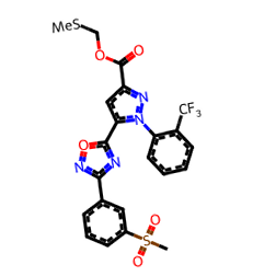 CSCOC(=O)c1cc(-c2nc(-c3cccc(S(C)(=O)=O)c3)no2)n(-c2ccccc2C(F)(F)F)n1